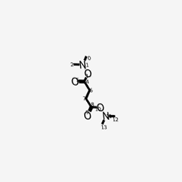 CN(C)OC(=O)CCC(=O)ON(C)C